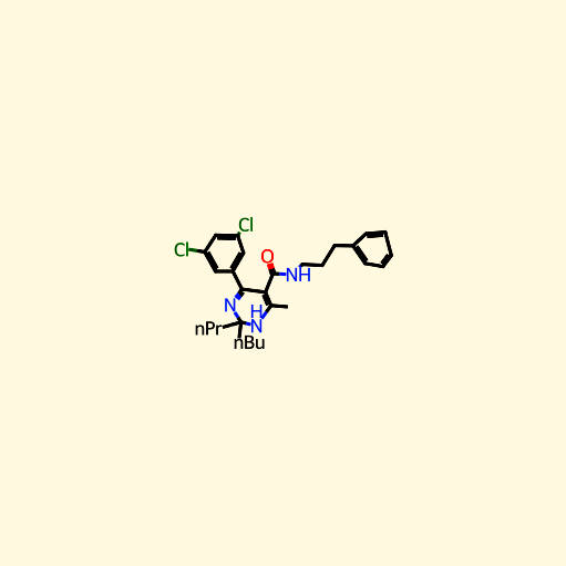 CCCCC1(CCC)N=C(c2cc(Cl)cc(Cl)c2)C(C(=O)NCCCc2ccccc2)=C(C)N1